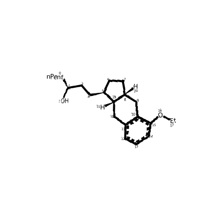 CCCCC[C@H](O)CC[C@H]1CC[C@@H]2Cc3c(cccc3OCC)C[C@H]12